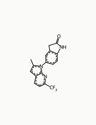 Cc1cc2ccc(C(F)(F)F)nc2n1-c1ccc2c(c1)CC(=O)N2